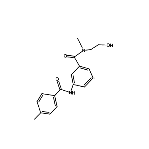 Cc1ccc(C(=O)Nc2c[c]cc(C(=O)N(C)CCO)c2)cc1